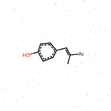 CC(=O)/C(C)=C/c1ccc(O)cc1